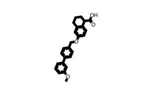 COc1cccc(-c2ccc(COc3ccc4c(c3)CCCC4C(=O)O)cc2)c1